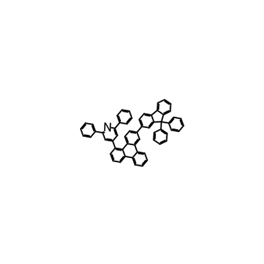 c1ccc(-c2cc(-c3cccc4c5ccccc5c5cc(-c6ccc7c(c6)C(c6ccccc6)(c6ccccc6)c6ccccc6-7)ccc5c34)cc(-c3ccccc3)n2)cc1